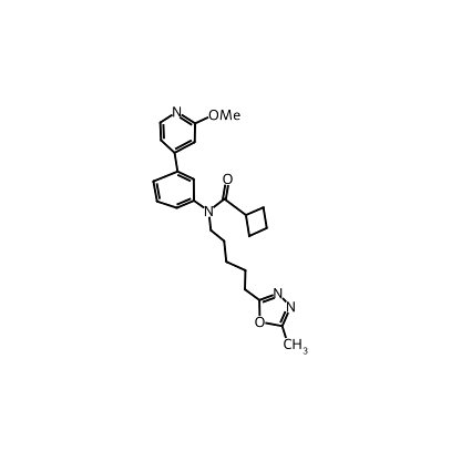 COc1cc(-c2cccc(N(CCCCCc3nnc(C)o3)C(=O)C3CCC3)c2)ccn1